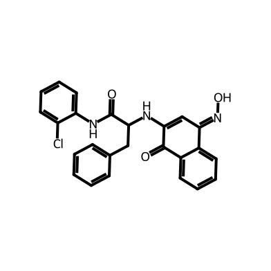 O=C1C(NC(Cc2ccccc2)C(=O)Nc2ccccc2Cl)=CC(=NO)c2ccccc21